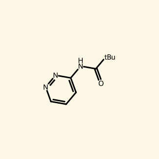 CC(C)(C)C(=O)Nc1cccnn1